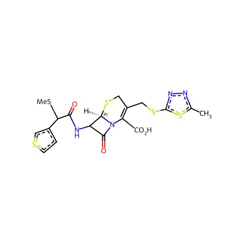 CSC(C(=O)NC1C(=O)N2C(C(=O)O)=C(CSc3nnc(C)s3)CS[C@H]12)c1ccsc1